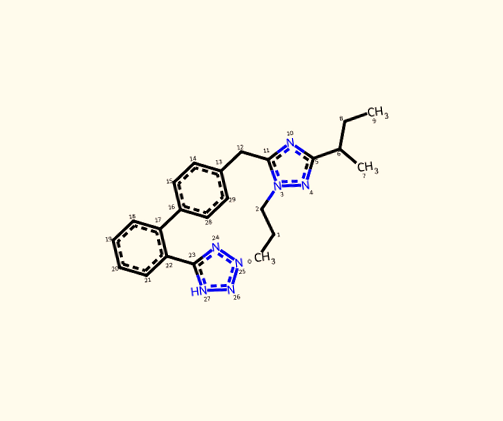 CCCn1nc(C(C)CC)nc1Cc1ccc(-c2ccccc2-c2nnn[nH]2)cc1